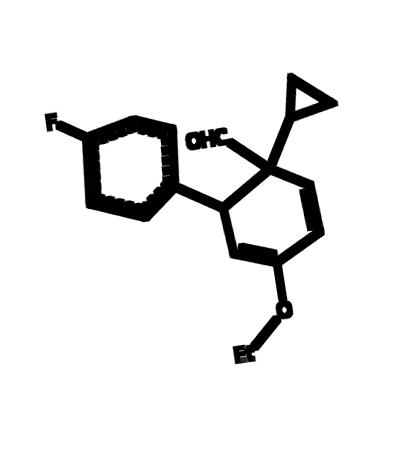 CCOC1=CC(c2ccc(F)cc2)C(C=O)(C2CC2)C=C1